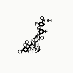 COC(=O)C1=C(CN2CCN3C(=O)N(c4cc(F)cc(Oc5ccc(C(=O)O)cc5F)c4)CC3C2)NC(c2nccs2)=NC1c1ccc(Cl)cc1Cl